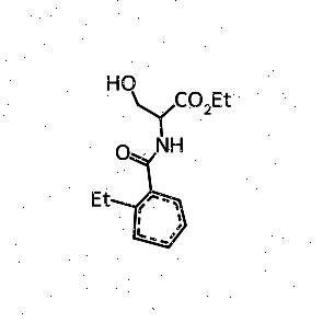 CCOC(=O)C(CO)NC(=O)c1ccccc1CC